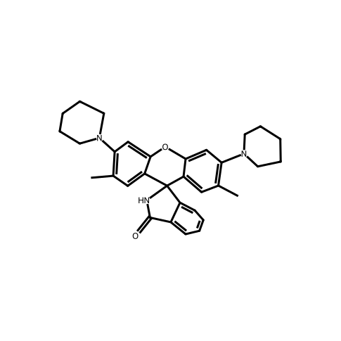 Cc1cc2c(cc1N1CCCCC1)Oc1cc(N3CCCCC3)c(C)cc1C21NC(=O)c2ccccc21